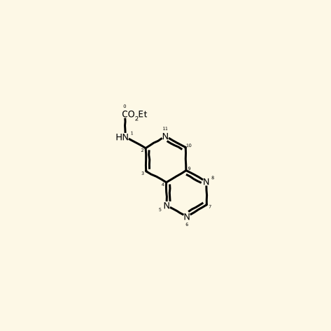 CCOC(=O)Nc1cc2nncnc2cn1